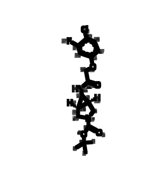 CC(C)(C)OC(=O)N1C[C@@H]2C(NC(=O)COc3ccc(Cl)c(F)c3)[C@@H]2C1